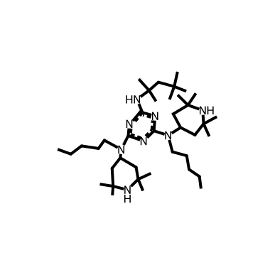 CCCCCN(c1nc(NC(C)(C)CC(C)(C)C)nc(N(CCCCC)C2CC(C)(C)NC(C)(C)C2)n1)C1CC(C)(C)NC(C)(C)C1